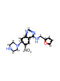 O=[N+]([O-])c1cc2c(NCc3ccco3)ncnc2cc1N1CCNCC1